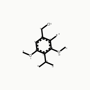 COc1cc(CCl)c(F)c(OC)c1C(C)C